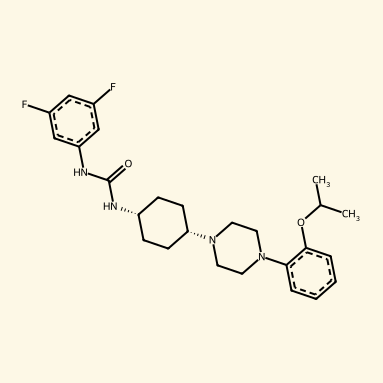 CC(C)Oc1ccccc1N1CCN([C@H]2CC[C@@H](NC(=O)Nc3cc(F)cc(F)c3)CC2)CC1